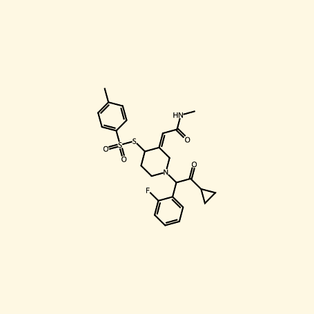 CNC(=O)/C=C1\CN(C(C(=O)C2CC2)c2ccccc2F)CCC1SS(=O)(=O)c1ccc(C)cc1